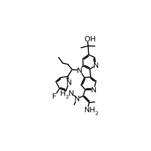 CCCC(c1ccc(F)cn1)n1c2cc(/C(=C(\C)N)N(C)N)ncc2c2ncc(C(C)(C)O)cc21